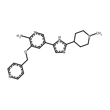 CN1CCC(c2ncc(-c3cnc(N)c(OCc4ccncc4)c3)[nH]2)CC1